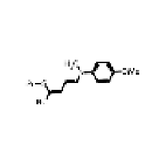 COc1ccc(N(C)C=CC=C(C#N)SC(C)C)cc1